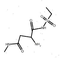 CCS(=O)(=O)NC(=O)C(N)CC(=O)NC